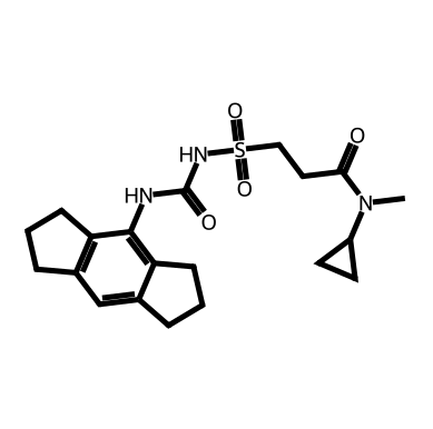 CN(C(=O)CCS(=O)(=O)NC(=O)Nc1c2c(cc3c1CCC3)CCC2)C1CC1